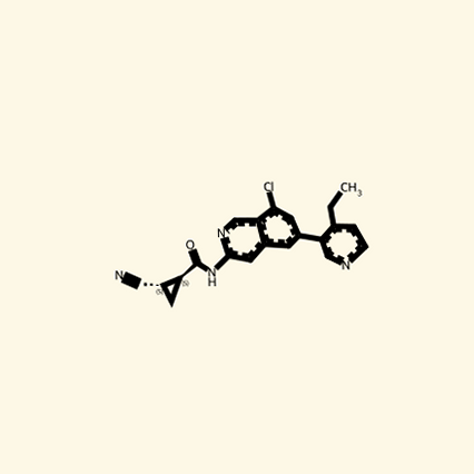 CCc1ccncc1-c1cc(Cl)c2cnc(NC(=O)[C@H]3C[C@@H]3C#N)cc2c1